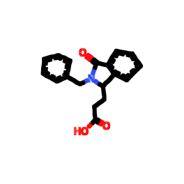 O=C(O)CCC1c2ccccc2C(=O)N1Cc1ccccc1